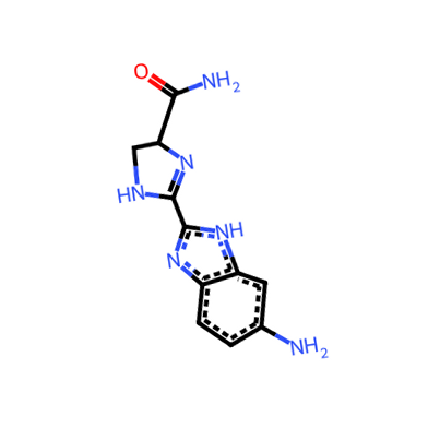 NC(=O)C1CNC(c2nc3ccc(N)cc3[nH]2)=N1